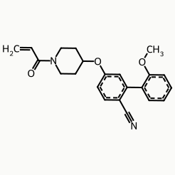 C=CC(=O)N1CCC(Oc2ccc(C#N)c(-c3ccccc3OC)c2)CC1